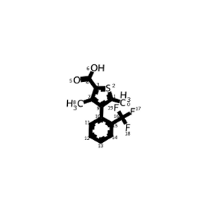 Cc1sc(C(=O)O)c(C)c1-c1ccccc1C(F)(F)F